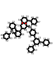 c1ccc(-c2cc(-c3ccccc3)cc(-c3ccc(N(c4cccc(-c5cccc6c5c5ccccc5n6-c5ccccc5)c4)c4ccccc4-c4ccccc4)cc3)c2)cc1